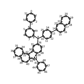 c1ccc(-c2cccc(C(c3ccc(-c4ccc5ccccc5c4)cc3)c3ccc4c(c3)c3c5ccccc5ccc3n4-c3ccccc3)c2)cc1